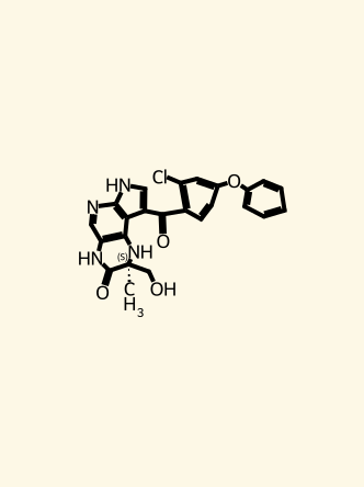 C[C@@]1(CO)Nc2c(cnc3[nH]cc(C(=O)c4ccc(Oc5ccccc5)cc4Cl)c23)NC1=O